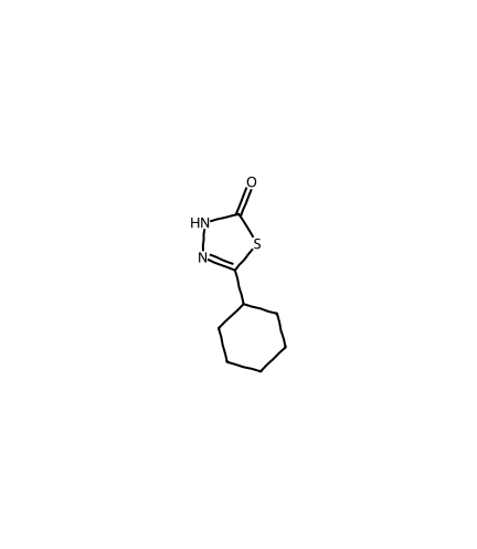 O=c1[nH]nc(C2CCCCC2)s1